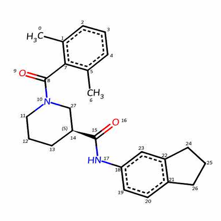 Cc1cccc(C)c1C(=O)N1CCC[C@H](C(=O)Nc2ccc3c(c2)CCC3)C1